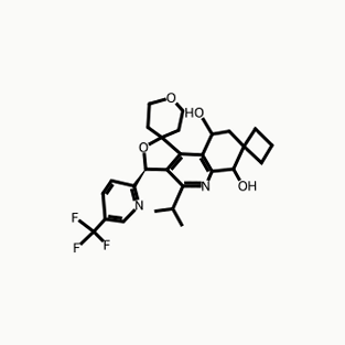 CC(C)c1nc2c(c3c1[C@@H](c1ccc(C(F)(F)F)cn1)OC31CCOCC1)C(O)CC1(CCC1)C2O